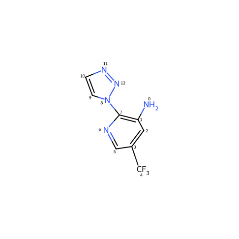 Nc1cc(C(F)(F)F)cnc1-n1ccnn1